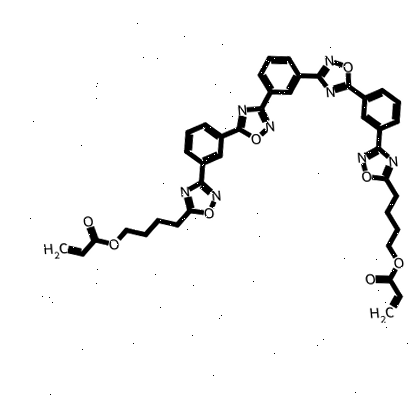 C=CC(=O)OCCCCc1nc(-c2cccc(-c3nc(-c4cccc(-c5noc(-c6cccc(-c7noc(CCCCOC(=O)C=C)n7)c6)n5)c4)no3)c2)no1